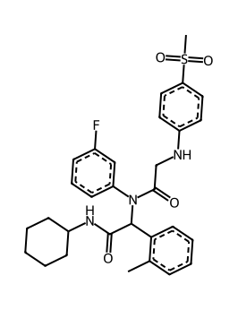 Cc1ccccc1C(C(=O)NC1CCCCC1)N(C(=O)CNc1ccc(S(C)(=O)=O)cc1)c1cccc(F)c1